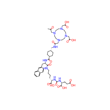 CC(=O)CN1CCN(CC(=O)O)CCN(CC(=O)O)CCN(CC(=O)NC[C@H]2CC[C@H](C(=O)NC(Cc3ccc4ccccc4c3)C(=O)NCCCC[C@H](NC(=O)N[C@@H](CCC(=O)O)C(=O)O)C(=O)O)CC2)CC1